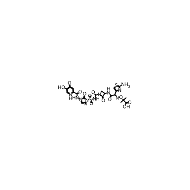 CC(C)(O/N=C(/C(=O)NC1CN(C(=O)NS(=O)(=O)n2ncn(NC(=O)c3cc(=O)c(O)c[nH]3)c2=O)C1=O)c1csc(N)n1)C(=O)O